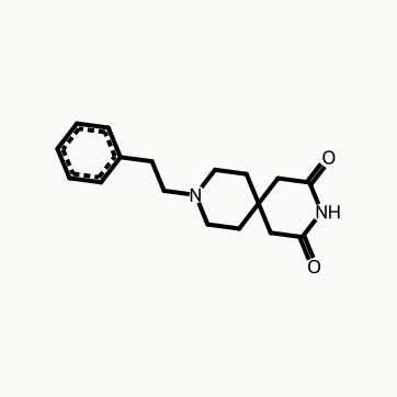 O=C1CC2(CCN(CCc3ccccc3)CC2)CC(=O)N1